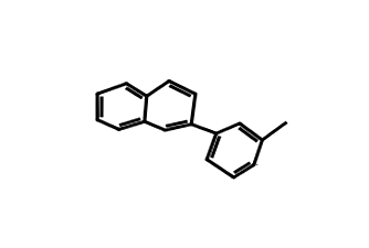 Cc1[c]ccc(-c2ccc3ccccc3c2)c1